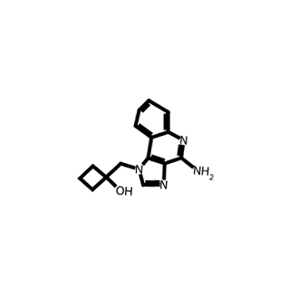 Nc1nc2ccccc2c2c1ncn2CC1(O)CCC1